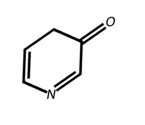 O=C1C=NC=CC1